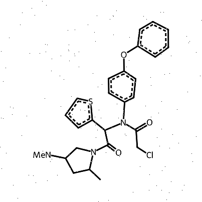 CNC1CC(C)N(C(=O)C(c2cccs2)N(C(=O)CCl)c2ccc(Oc3ccccc3)cc2)C1